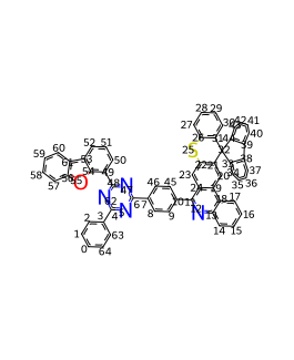 c1ccc(-c2nc(-c3ccc(-c4nc5ccccc5c5cc6c(cc45)Sc4ccccc4C64c5ccccc5-c5ccccc54)cc3)nc(-c3cccc4c3oc3ccccc34)n2)cc1